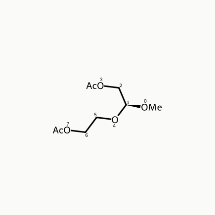 CO[C@H](COC(C)=O)OCCOC(C)=O